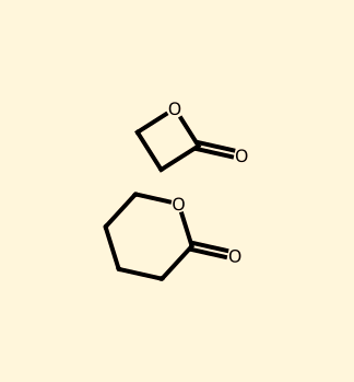 O=C1CCCCO1.O=C1CCO1